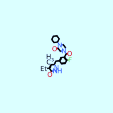 CCc1c(C)c(Cc2ccc(F)c(C(=O)N3CCN(C4CCCCC4)C(=O)C3)c2)n[nH]c1=O